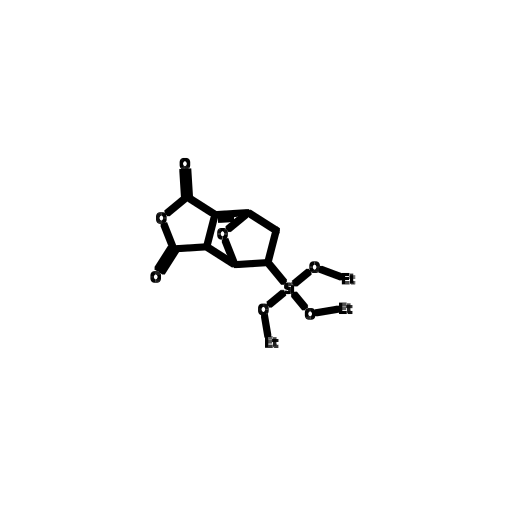 CCO[Si](OCC)(OCC)C1CC2=C3C(=O)OC(=O)C3C1O2